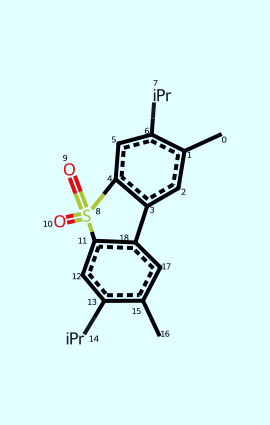 Cc1cc2c(cc1C(C)C)S(=O)(=O)c1cc(C(C)C)c(C)cc1-2